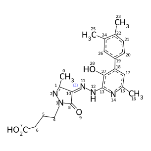 CC1=NN(CCCC(=O)O)C(=O)/C1=N\Nc1nc(C)cc(-c2ccc(C)c(C)c2)c1O